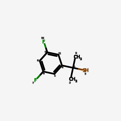 CC(C)(S)c1cc(F)cc(F)c1